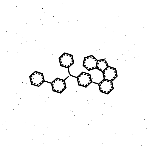 c1ccc(-c2cccc(N(c3ccccc3)c3ccc(-c4cccc5ccc6sc7ccccc7c6c45)cc3)c2)cc1